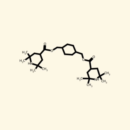 CC1(C)CC(C(=O)OCC2CCC(COC(=O)C3CC(C)(C)NC(C)(C)C3)CC2)CC(C)(C)N1